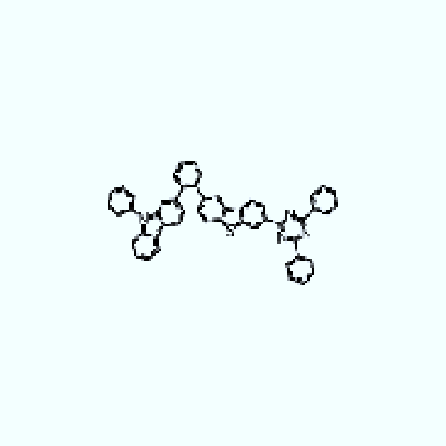 c1ccc(-c2nc(-c3ccccc3)nc(-c3ccc4c(c3)sc3ccc(-c5ccccc5-c5ccc6c7ccccc7n(-c7ccccc7)c6c5)cc34)n2)cc1